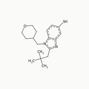 CC(C)(C)Cc1nc2cc(S)ccc2n1CC1CCOCC1